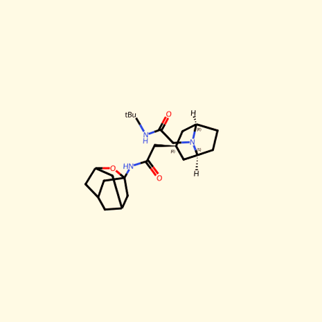 CC(C)(C)NC(=O)CN1[C@@H]2CC[C@H]1C[C@@H](CC(=O)NC13CC4CC(CC(C4)O1)C3)C2